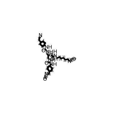 N#CCc1ccc(NC(=O)NCC(CNC(=O)Nc2ccc(CN=C=O)cc2)OC(=O)NCCCCCCN=C=O)cc1